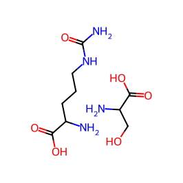 NC(=O)NCCCC(N)C(=O)O.NC(CO)C(=O)O